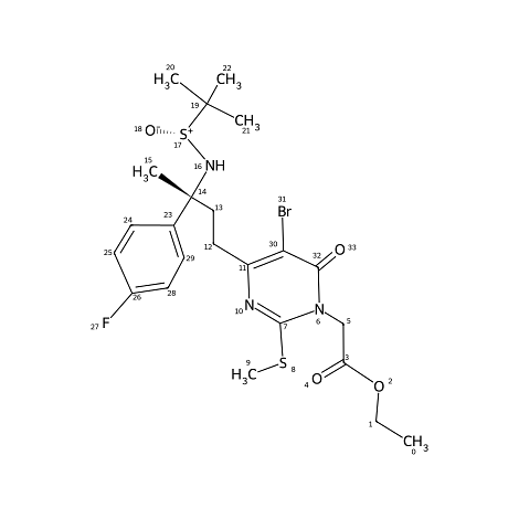 CCOC(=O)Cn1c(SC)nc(CC[C@@](C)(N[S@+]([O-])C(C)(C)C)c2ccc(F)cc2)c(Br)c1=O